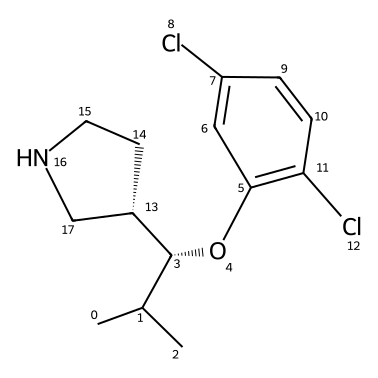 CC(C)[C@@H](Oc1cc(Cl)ccc1Cl)[C@H]1CCNC1